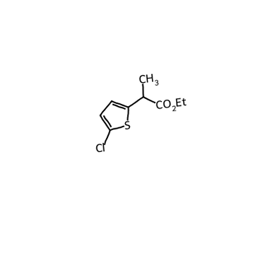 CCOC(=O)C(C)c1ccc(Cl)s1